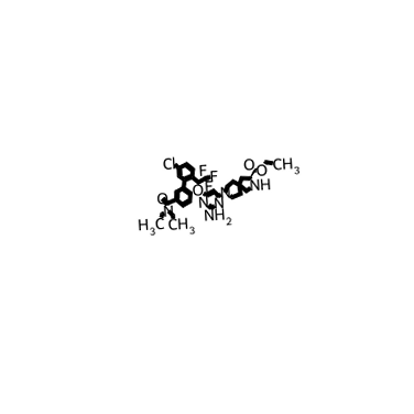 CCOC(=O)[C@@H]1CC2(CCN(c3cc(O[C@H](c4ccc(Cl)cc4-c4cccc(C(=O)N(CC)CC)c4)C(F)(F)F)nc(N)n3)CC2)CN1